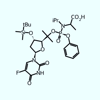 CC(C)N(C(C)C(=O)O)[P@@](=O)(Oc1ccccc1)OC(C)(C)[C@H]1O[C@@H](n2cc(F)c(=O)[nH]c2=O)C[C@@H]1O[Si](C)(C)C(C)(C)C